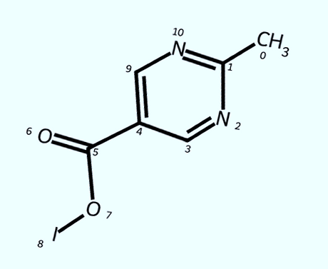 Cc1ncc(C(=O)OI)cn1